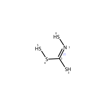 S/N=C(/S)SS